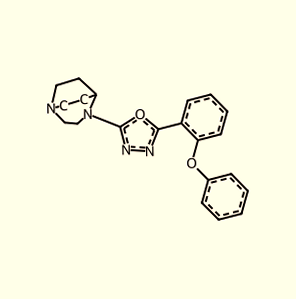 c1ccc(Oc2ccccc2-c2nnc(N3CCN4CCC3CC4)o2)cc1